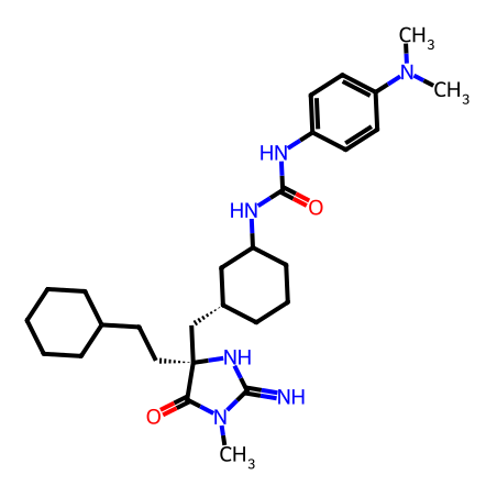 CN1C(=N)N[C@](CCC2CCCCC2)(C[C@H]2CCCC(NC(=O)Nc3ccc(N(C)C)cc3)C2)C1=O